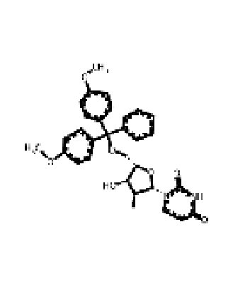 COc1ccc(C(OC[C@@H]2O[C@H](n3ccc(=O)[nH]c3=O)[C@@H](F)[C@H]2O)(c2ccccc2)c2ccc(OC)cc2)cc1